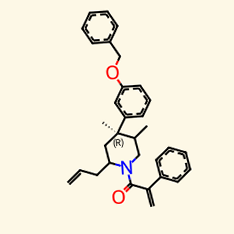 C=CCC1C[C@@](C)(c2cccc(OCc3ccccc3)c2)C(C)CN1C(=O)C(=C)c1ccccc1